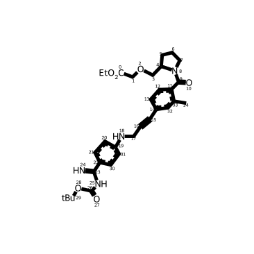 CCOC(=O)COCC1CCCN1C(=O)c1ccc(C#CCNc2ccc(C(=N)NC(=O)OC(C)(C)C)cc2)cc1C